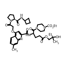 CCOC(=O)N1CCN(C(=O)C(CCC(=O)OC[C@@](C)(O)CC)NC(=O)c2cc(OCC(=O)N3CCC[C@H]3C(=O)NC3CCC3)c3ccc(C)cc3n2)CC1